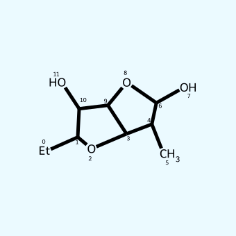 CCC1OC2C(C)C(O)OC2C1O